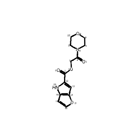 O=C(OCC(=O)N1CCOCC1)c1cc2occc2[nH]1